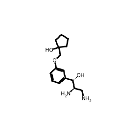 NC[C@@H](N)[C@@H](O)c1cccc(OCC2(O)CCCC2)c1